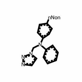 CCCCCCCCCc1ccc(N(Cn2ccnn2)c2ccccc2)cc1